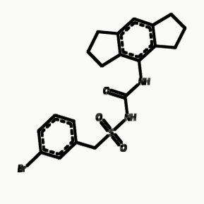 O=C(Nc1c2c(cc3c1CCC3)CCC2)NS(=O)(=O)Cc1cccc(Br)c1